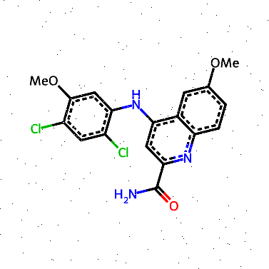 COc1ccc2nc(C(N)=O)cc(Nc3cc(OC)c(Cl)cc3Cl)c2c1